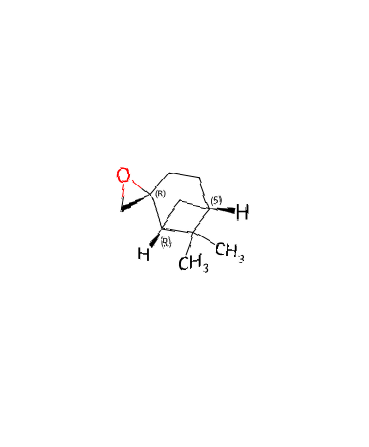 CC1(C)[C@H]2CC[C@]3(CO3)[C@@H]1C2